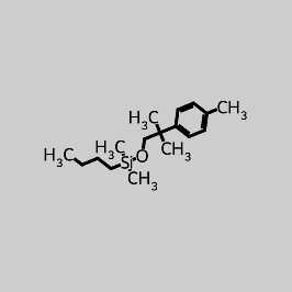 CCCC[Si](C)(C)OCC(C)(C)c1ccc(C)cc1